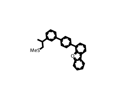 CSCC(C)c1cccc(-c2ccc(-c3cccc4c3oc3ccccc34)cc2)c1